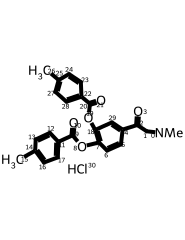 CNCC(=O)c1ccc(OC(=O)c2ccc(C)cc2)c(OC(=O)c2ccc(C)cc2)c1.Cl